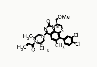 C=CC(=O)N1[C@H](C)CN(c2nc(=O)n3c4c(c(-c5ccc(Cl)c(Cl)c5)c(C)cc24)SC[C@@H]3COC)C[C@@H]1C